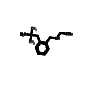 COCNCc1ccccc1C[Si](C)(C)C